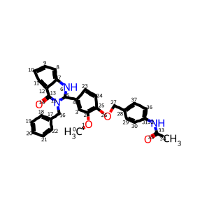 COc1cc(C2Nc3ccccc3C(=O)N2Cc2ccccc2)ccc1OCc1ccc(NC(C)=O)cc1